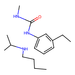 CCCCNC(C)C.CCc1cccc(NC(=O)NC)c1